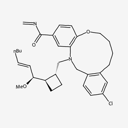 C=NC(=O)c1ccc2c(c1)N(C[C@@H]1CC[C@H]1[C@H](/C=C/CCCC)OC)Cc1ccc(Cl)cc1CCCCO2